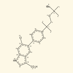 CC(C)(CO[Si](C)(C)C(C)(C)C)c1ccc(-c2cc3c(C(=O)O)c[nH]c3cc2Cl)cc1